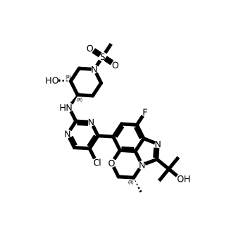 C[C@@H]1COc2c(-c3nc(N[C@@H]4CCN(S(C)(=O)=O)C[C@H]4O)ncc3Cl)cc(F)c3nc(C(C)(C)O)n1c23